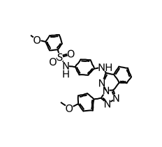 COc1ccc(-c2nnc3c4ccccc4c(Nc4ccc(NS(=O)(=O)c5cccc(OC)c5)cc4)nn23)cc1